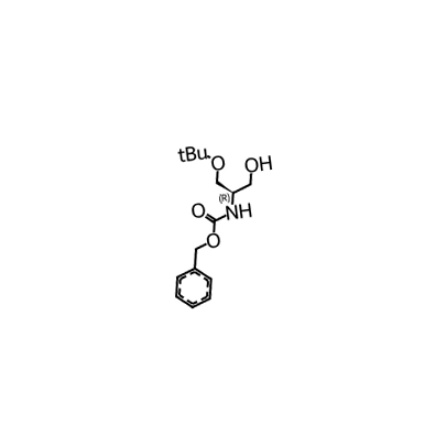 CC(C)(C)OC[C@@H](CO)NC(=O)OCc1ccccc1